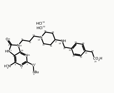 CCCCOc1nc(N)c2[nH]c(=O)n(CCCN3CCC(NCc4ccc(CC(=O)O)cc4)CC3)c2n1.Cl.Cl